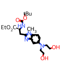 CCOC(=O)[C@H](Cc1nc2cc(N(CCO)CCO)ccc2n1C)NC(=O)OC(C)(C)C